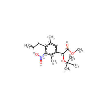 C=CCc1c(C)cc([C@H](OC(C)(C)C)C(=O)OC)c(C)c1[N+](=O)[O-]